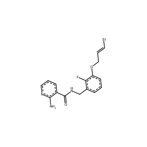 CCC=CCOc1cccc(CNC(=O)c2cccnc2N)c1F